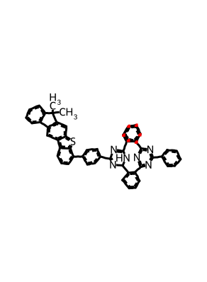 CC1(C)c2ccccc2-c2cc3c(cc21)sc1c(-c2ccc(C4=NC(c5ccccc5-c5nc(-c6ccccc6)nc(-c6ccccc6)n5)NC(c5ccccc5)=N4)cc2)cccc13